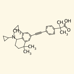 CN(C1CC1)C1CCC(C)(C)c2cc(C#Cc3ccc(C(C)(C)C(=O)O)cc3)cc(C3CC3)c21